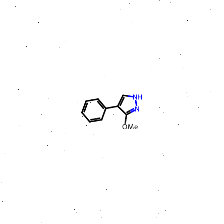 COc1n[nH]cc1-c1ccccc1